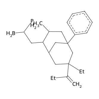 BC(P)CC1C(C)CC2(c3ccccc3)CC1CC(CC)(C(=C)CC)C2